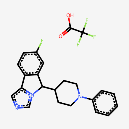 Fc1ccc2c(c1)C(C1CCN(c3ccccc3)CC1)n1cncc1-2.O=C(O)C(F)(F)F